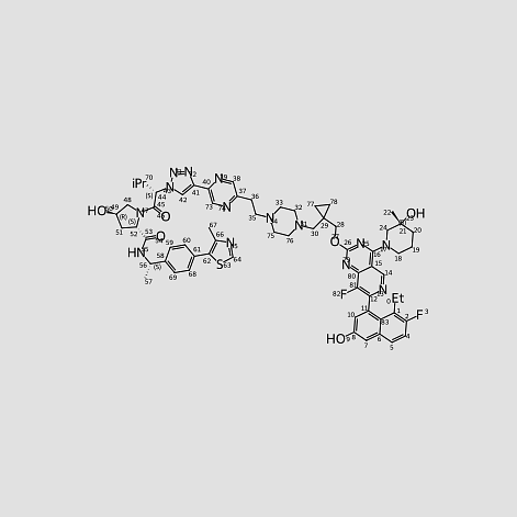 CCc1c(F)ccc2cc(O)cc(-c3ncc4c(N5CCC[C@@](C)(O)C5)nc(OCC5(CN6CCN(CCc7cnc(-c8cn([C@H](C(=O)N9C[C@H](O)C[C@H]9C(=O)N[C@@H](C)c9ccc(-c%10scnc%10C)cc9)C(C)C)nn8)cn7)CC6)CC5)nc4c3F)c12